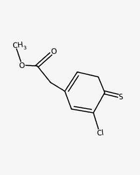 COC(=O)CC1=CCC(=S)C(Cl)=C1